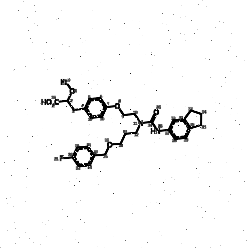 CCOC(Cc1ccc(OCCN(CCCOCc2ccc(F)cc2)C(=O)Nc2ccc3c(c2)CCC3)cc1)C(=O)O